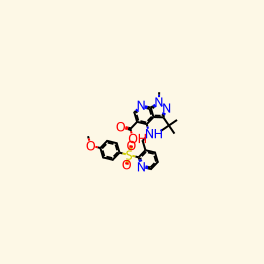 COc1ccc(S(=O)(=O)c2ncccc2CNc2c(C(=O)O)cnc3c2c(C(C)(C)C)nn3C)cc1